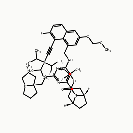 COCOc1cc(CNc2nc(OC[C@@]34CCCN3C[C@H](F)C4)nc(N3C[C@H]4CC[C@@H](C3)N4C(=O)OC(C)(C)C)n2)c2c(C#C[Si](C(C)C)(C(C)C)C(C)C)c(F)ccc2c1